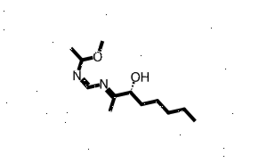 CCCCC[C@@H](O)/C(C)=N/C=N\C(C)OC